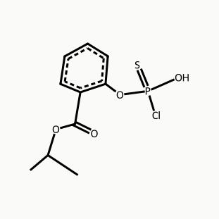 CC(C)OC(=O)c1ccccc1OP(O)(=S)Cl